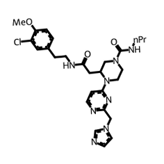 CCCNC(=O)N1CCN(c2ccnc(Cn3ccnc3)n2)C(CC(=O)NCCc2ccc(OC)c(Cl)c2)C1